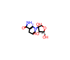 NC(=O)C1=CN(C2(O)CO[C@H](CO)[C@H]2O)C=CC1